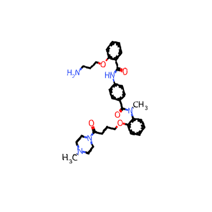 CN1CCN(C(=O)CCCOc2ccccc2N(C)C(=O)c2ccc(NC(=O)c3ccccc3OCCCN)cc2)CC1